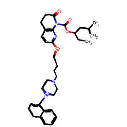 CCC(CC(C)C)OC(=O)N1C(=O)CCc2ccc(OCCCCN3CCN(c4cccc5ccccc45)CC3)nc21